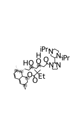 CCC(C)(C)C(=O)O[C@H]1C[C@@H](C)C=C2C=C[C@H](C)[C@H](CC[C@@H](O)C[C@@H](O)CC(=O)N3CCN=C3C3CN(C(C)C)CCN3C(C)C)C21